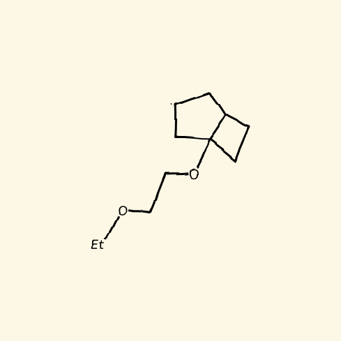 CCOCCOC12C[CH]CC1CC2